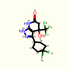 O=C1CC(O)(C(F)(F)F)c2c(C3CCC(F)(F)CC3)n[nH]c2N1